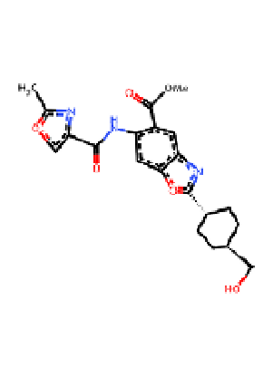 COC(=O)c1cc2nc([C@H]3CC[C@H](CO)CC3)oc2cc1NC(=O)c1coc(C)n1